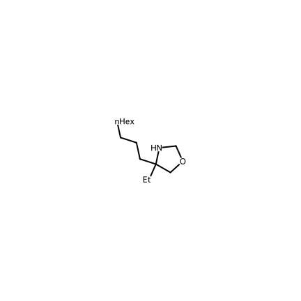 CCCCCCCCCC1(CC)COCN1